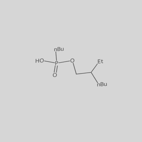 CCCCC(CC)COP(=O)(O)CCCC